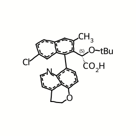 Cc1cc2ccc(Cl)cc2c(-c2ccc3c4c(ccnc24)CCO3)c1[C@H](OC(C)(C)C)C(=O)O